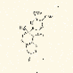 COc1ncc(C2(C)CSc3cc(F)ccc3N2C)nc1OC